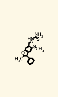 COc1cc2c(-c3ccccc3)c(C)oc2cc1C=NNC(N)=S